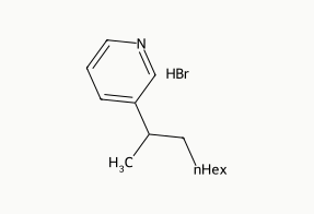 Br.CCCCCCCC(C)c1cccnc1